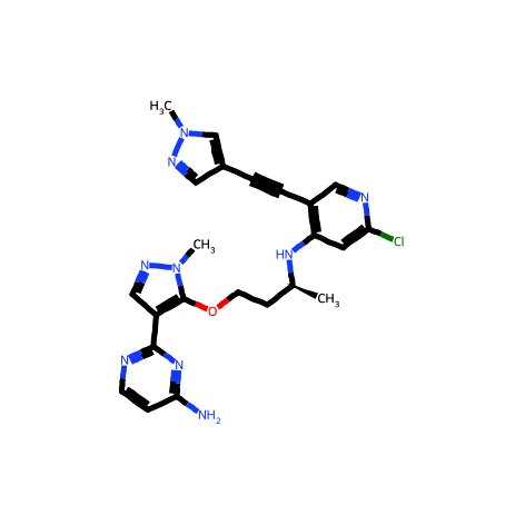 C[C@@H](CCOc1c(-c2nccc(N)n2)cnn1C)Nc1cc(Cl)ncc1C#Cc1cnn(C)c1